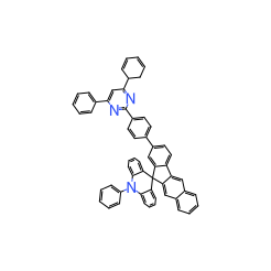 C1=CCC(c2cc(-c3ccccc3)nc(-c3ccc(-c4ccc5c(c4)C4(c6cc7ccccc7cc6-5)c5ccccc5N(c5ccccc5)c5ccccc54)cc3)n2)C=C1